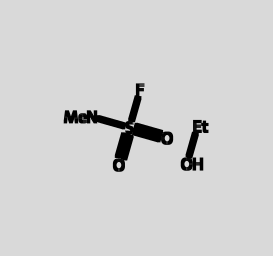 CCO.CNS(=O)(=O)F